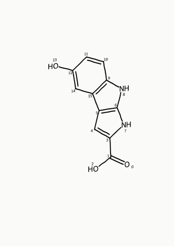 O=C(O)c1cc2c([nH]1)[nH]c1ccc(O)cc12